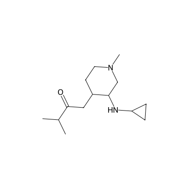 CC(C)C(=O)CC1CCN(C)CC1NC1CC1